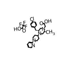 C[C@H]1CN(C2CCN(c3ccccn3)CC2)[C@@H](Cc2ccc(Cl)cc2)CN1CC(=O)O.O=C(O)C(F)(F)F